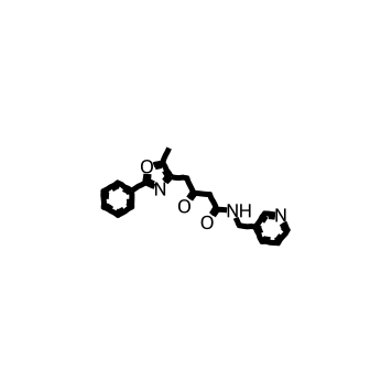 Cc1oc(-c2ccccc2)nc1CC(=O)CC(=O)NCc1cccnc1